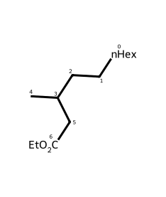 CCCCCCCCC(C)CC(=O)OCC